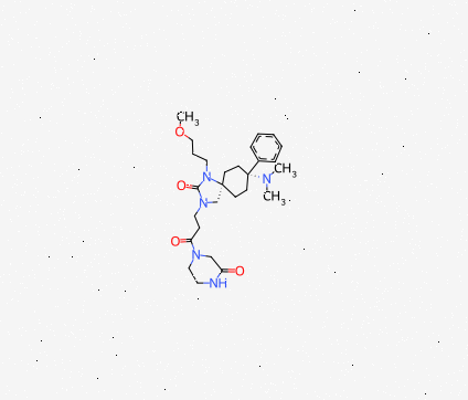 COCCCN1C(=O)N(CCC(=O)N2CCNC(=O)C2)C[C@]12CC[C@@](c1ccccc1)(N(C)C)CC2